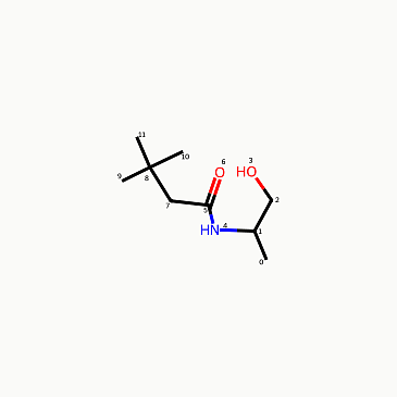 CC(CO)NC(=O)CC(C)(C)C